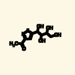 CC(=O)c1cc(C(O)C(O)C(O)CO)sn1